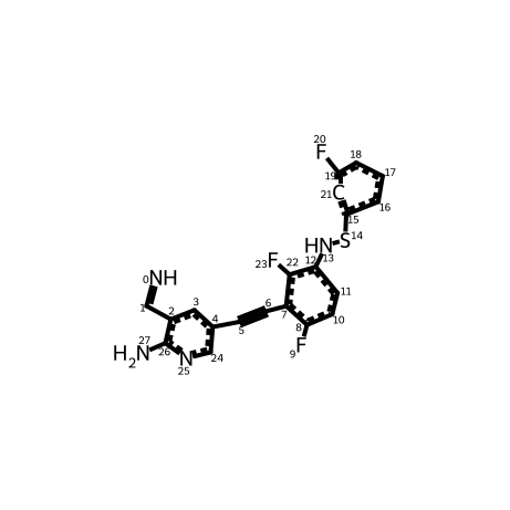 N=Cc1cc(C#Cc2c(F)ccc(NSc3cccc(F)c3)c2F)cnc1N